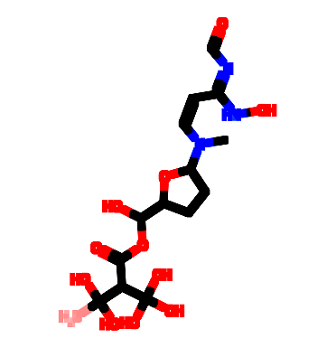 BC(O)(O)C(C(=O)OC(O)C1CCC(N(C)/C=C\C(=N/C=O)NO)O1)C(O)(O)O